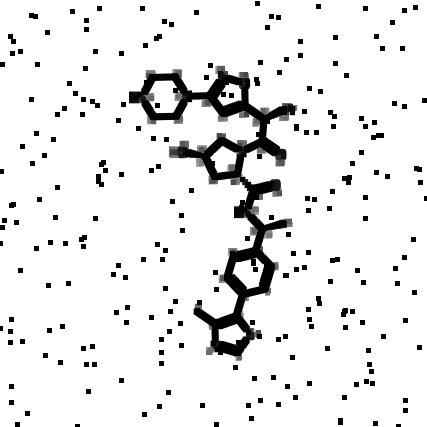 Cc1ncsc1-c1ccc([C@H](C)NC(=O)[C@@H]2C[C@@H](O)CN2C(=O)[C@@H](c2cc(N3CCNCC3)no2)C(C)C)cc1